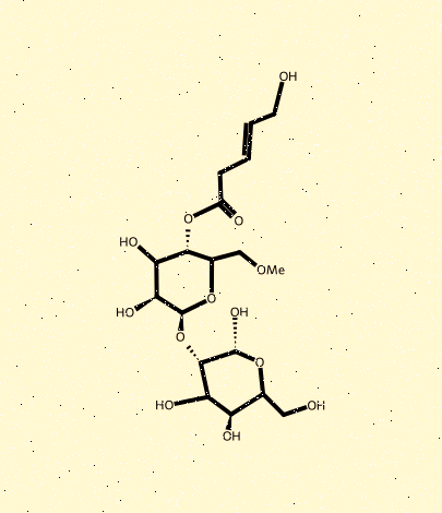 COCC1O[C@@H](O[C@H]2C(O)[C@H](O)C(CO)O[C@H]2O)[C@@H](O)C(O)[C@@H]1OC(=O)CC=CCO